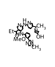 CCC(=O)c1cnc(Nc2ccc([C@@H](C)N3CC(O)C3)cn2)cc1Nc1cccc(-c2ncn(C)n2)c1OC